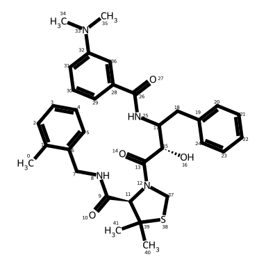 Cc1ccccc1CNC(=O)[C@H]1N(C(=O)[C@@H](O)C(Cc2ccccc2)NC(=O)c2cccc(N(C)C)c2)CSC1(C)C